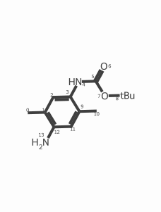 Cc1cc(NC(=O)OC(C)(C)C)c(C)cc1N